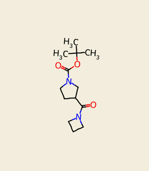 CC(C)(C)OC(=O)N1CCC(C(=O)N2CCC2)C1